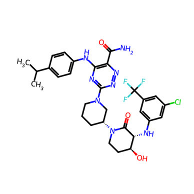 CC(C)c1ccc(Nc2nc(N3CCC[C@@H](N4CC[C@H](O)[C@@H](Nc5cc(Cl)cc(C(F)(F)F)c5)C4=O)C3)nnc2C(N)=O)cc1